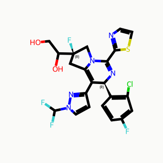 OCC(O)[C@@]1(F)CC2=C(c3ccn(C(F)F)n3)[C@H](c3ccc(F)cc3Cl)N=C(c3nccs3)N2C1